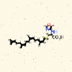 CC(C)=CCCC(C)=CCCC(C)=CCCC(C)=CCSCC(Nc1cocn1)C(=O)O